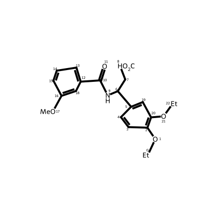 CCOc1ccc(C(CC(=O)O)NC(=O)c2cccc(OC)c2)cc1OCC